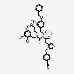 [CH2][C@@H](Cc1ccc(OCc2ccccc2)cc1)N(C(=O)Cc1cncn1Cc1ccc(C#N)cc1)C(=S)N(CCCN(C)C)Cc1cccc(Cl)c1Cl